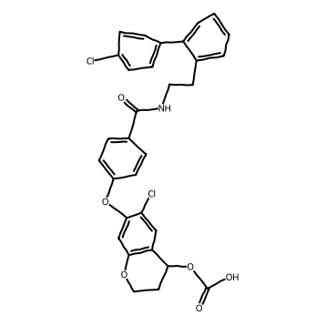 O=C(O)OC1CCOc2cc(Oc3ccc(C(=O)NCCc4ccccc4-c4ccc(Cl)cc4)cc3)c(Cl)cc21